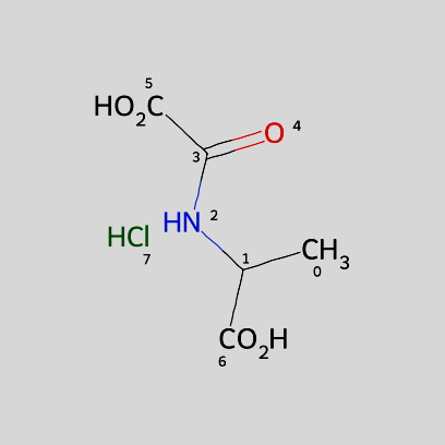 CC(NC(=O)C(=O)O)C(=O)O.Cl